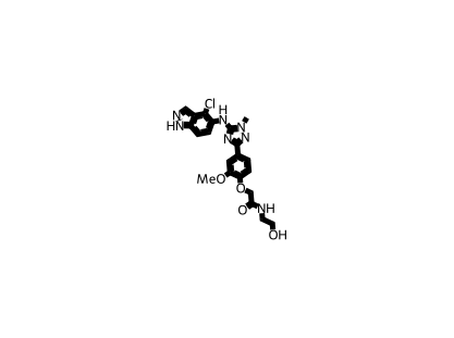 COc1cc(-c2nc(Nc3ccc4[nH]ncc4c3Cl)n(C)n2)ccc1OCC(=O)NCCO